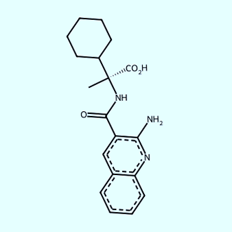 C[C@@](NC(=O)c1cc2ccccc2nc1N)(C(=O)O)C1CCCCC1